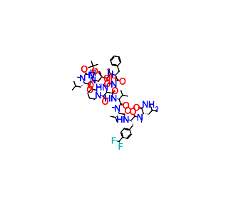 CC(C)C[C@@H](N[C@@H](C(=O)N[C@@H](C(=O)N(C)[C@H](C(=O)N[C@@H](Cc1ccc(C(F)F)cc1)C(=O)N(C)[C@@H](CC(C)C)C(N)=O)C(C)C)C(C)C)C(=O)N1CCCCC1)N(C)C(=O)[C@H](Cc1ccccc1)N(C)C(=O)[C@@H](CNC(=O)[C@H](CC(C)C)N(C)C(=O)N(C)C(=O)[C@@H](C)[C@@H](C)O)COC(C)(C)C